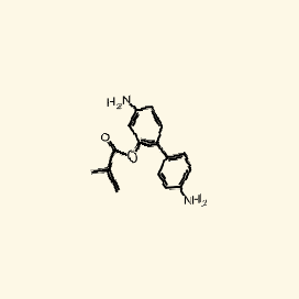 C=C(C)C(=O)Oc1cc(N)ccc1-c1ccc(N)cc1